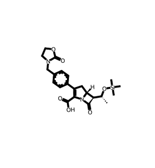 C[C@@H](O[Si](C)(C)C)[C@H]1C(=O)N2C(C(=O)O)=C(c3ccc(CN4CCOC4=O)cc3)C[C@H]12